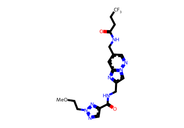 COCCn1ncc(C(=O)NCc2cn3ncc(CNC(=O)CCC(F)(F)F)cc3n2)n1